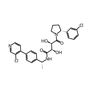 C[C@@H](NC(=O)[C@H](O)[C@@H](O)C(=O)N1CCC[C@@H]1c1cccc(Cl)c1)c1ccc(-c2ccncc2Cl)cc1